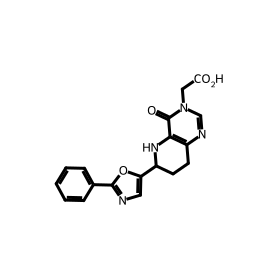 O=C(O)Cn1cnc2c(c1=O)NC(c1cnc(-c3ccccc3)o1)CC2